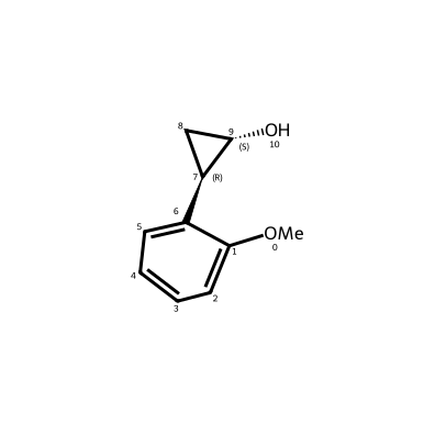 COc1ccccc1[C@H]1C[C@@H]1O